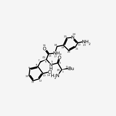 CCC(C)[C@@H](N)C(=O)N[C@@H](Cc1ccccc1Cl)C(=O)NCc1ccc(N)nc1